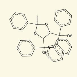 CC1(c2ccccc2)OC(C(O)(c2ccccc2)c2ccccc2)C(C(O)(c2ccccc2)c2ccccc2)O1